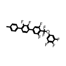 Cc1ccc(-c2ccc(-c3cc(F)c(C(F)(F)Oc4cc(F)c(F)c(F)c4)c(F)c3)c(F)c2F)cc1